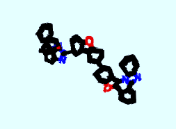 CC1C/C=C(c2ccccc2)/N=C(c2ccc3oc4ccc(-c5ccc6oc7c8ccccc8c8nc9ccccc9n8c7c6c5)cc4c3c2)\N=C/1c1ccccc1